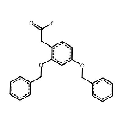 O=C(Cl)Cc1ccc(OCc2ccccc2)cc1OCc1ccccc1